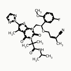 COc1ccc(F)cc1[C@H](Cn1c(=O)n(C(C)(C)C(=O)NC(C)C)c(=O)c2c(C)c(-n3nccn3)sc21)OCC=C(C)C#N